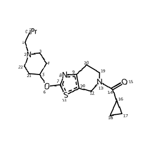 CC(C)CN1CCC(Oc2nc3c(s2)CN(C(=O)C2CC2)CC3)CC1